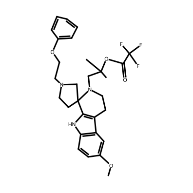 COc1ccc2[nH]c3c(c2c1)CCN(CC(C)(C)OC(=O)C(F)(F)F)C31CCN(CCOc2ccccc2)C1